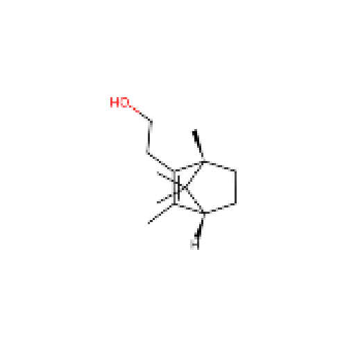 CC1=C(CCO)[C@]2(C)CC[C@H]1C2(C)C